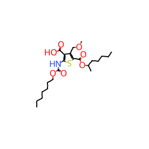 CCCCCCCOC(=O)Nc1sc(C(=O)OC(C)CCCCC)c(COC)c1C(=O)O